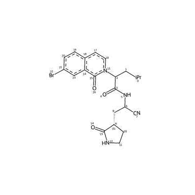 CC(C)CC(C(=O)NC(C#N)C[C@@H]1CCNC1=O)n1ccc2ccc(Br)cc2c1=O